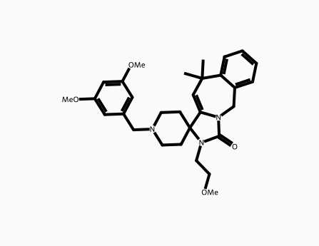 COCCN1C(=O)N2Cc3ccccc3C(C)(C)C=C2C12CCN(Cc1cc(OC)cc(OC)c1)CC2